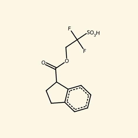 O=C(OCC(F)(F)S(=O)(=O)O)C1CCc2ccccc21